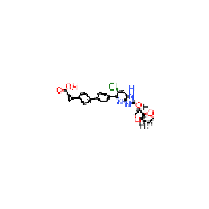 C[C@@H]1CO[C@H]2[C@@H]1OC[C@H]2Oc1nc2nc(-c3ccc(-c4ccc(C5CC5C(=O)O)cc4)cc3)c(Cl)cc2[nH]1